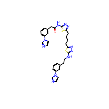 O=C(Cc1cccc(-n2ccnc2)c1)Nc1nnc(CCCCc2nnc(NCCc3cccc(-n4ccnc4)c3)s2)s1